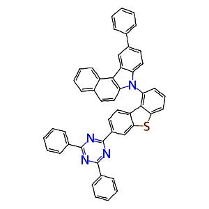 c1ccc(-c2ccc3c(c2)c2c4ccccc4ccc2n3-c2cccc3sc4cc(-c5nc(-c6ccccc6)nc(-c6ccccc6)n5)ccc4c23)cc1